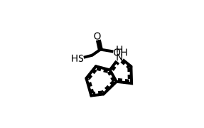 O=C(O)CS.c1ccc2[nH]ccc2c1